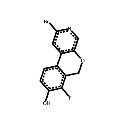 Oc1ccc2c(c1F)COc1cnc(Br)cc1-2